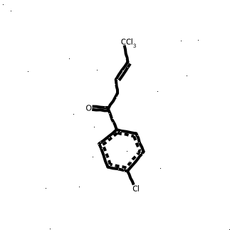 O=C(CC=CC(Cl)(Cl)Cl)c1ccc(Cl)cc1